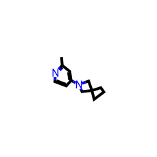 Cc1cc(N2CC3(CCC3)C2)ccn1